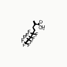 C=C(CCC(F)(F)C(F)(F)C(F)(F)C(F)(F)F)C(=O)O